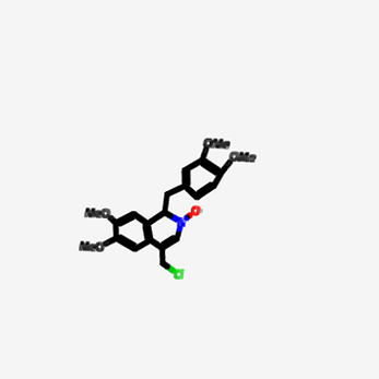 COc1ccc(CC2c3cc(OC)c(OC)cc3C(CCl)=CN2[O])cc1OC